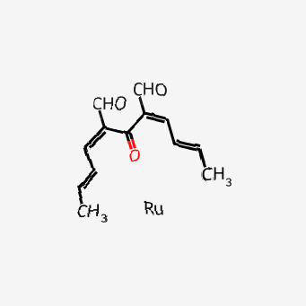 C/C=C/C=C(/C=O)C(=O)/C(C=O)=C\C=C\C.[Ru]